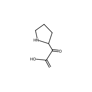 C=C(O)C(=O)C1CCCN1